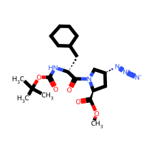 COC(=O)[C@@H]1C[C@@H](N=[N+]=[N-])CN1C(=O)[C@@H](CC1CCCCC1)NC(=O)OC(C)(C)C